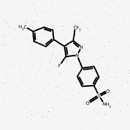 Cc1ccc(-c2c(C(F)(F)F)nn(-c3ccc(S(N)(=O)=O)cc3)c2F)cc1